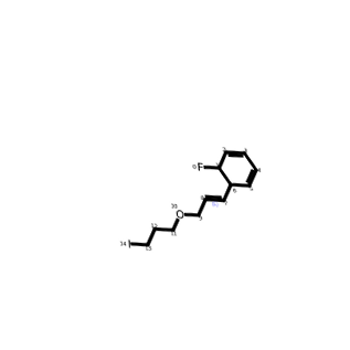 FC1C=CC=C[C]1/C=C/COCCCI